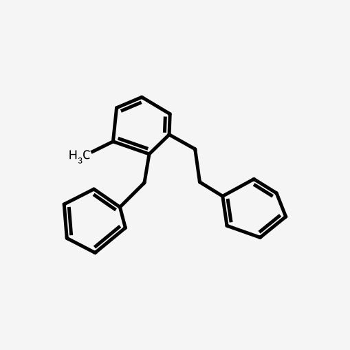 Cc1cccc(CCc2ccccc2)c1Cc1ccccc1